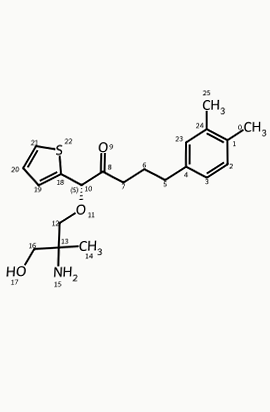 Cc1ccc(CCCC(=O)[C@H](OCC(C)(N)CO)c2cccs2)cc1C